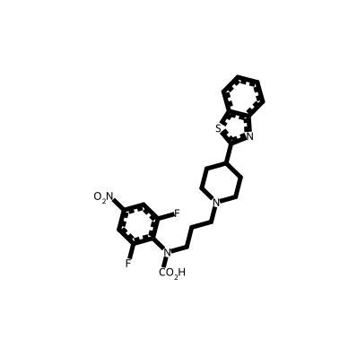 O=C(O)N(CCCN1CCC(c2nc3ccccc3s2)CC1)c1c(F)cc([N+](=O)[O-])cc1F